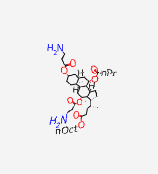 CCCCCCCCOC(=O)CC[C@@H](C)[C@H]1CC[C@H]2C3[C@H](OC(=O)CCC)C[C@@H]4C[C@H](OC(=O)CCN)CC[C@]4(C)[C@H]3C[C@H](OC(=O)CCN)[C@]12C